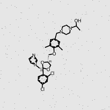 Cc1cc(CN2CCN(C(C)O)CC2)cc(C)c1OC[C@@H]1CO[C@@](Cn2ccnc2)(c2ccc(Cl)cc2Cl)O1